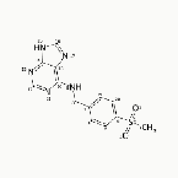 CS(=O)(=O)c1ccc(CNc2ncnc3[nH]cnc23)cc1